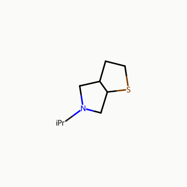 CC(C)N1CC2CCSC2C1